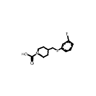 O=C(O)N1CCC(CSc2cccc(F)c2)CC1